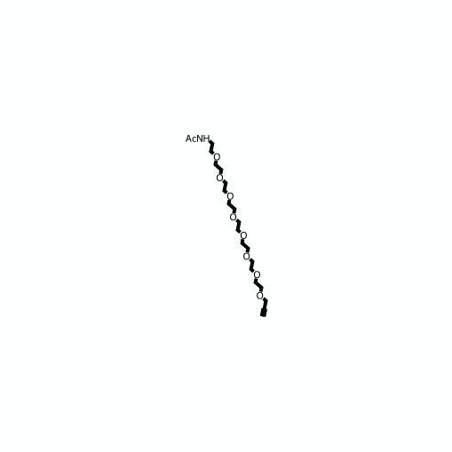 C#CCOCCOCCOCCOCCOCCOCCOCCOCCNC(C)=O